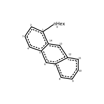 CCCCCCc1cccc2cc3ccccc3cc12